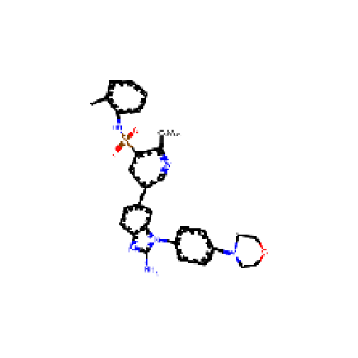 COc1ncc(-c2ccc3nc(N)n(-c4ccc(N5CCOCC5)cc4)c3c2)cc1S(=O)(=O)Nc1ccccc1C